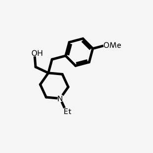 CCN1CCC(CO)(Cc2ccc(OC)cc2)CC1